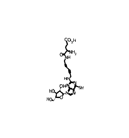 NC(CCC(=O)O)C(=O)NCC#CC#CCNc1nc(S)c2ncn([C@@H]3O[C@H](CO)C(O)[C@@H]3O)c2n1